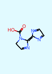 O=C(O)N1CC=NC1=C1N=CC=N1